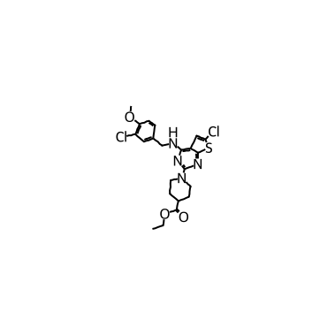 CCOC(=O)C1CCN(c2nc(NCc3ccc(OC)c(Cl)c3)c3cc(Cl)sc3n2)CC1